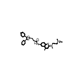 Cc1cc(N(C)CCN(C)C)nc2ccc(NC(=O)CCc3nc(-c4ccccc4)c(-c4ccccc4)o3)cc12